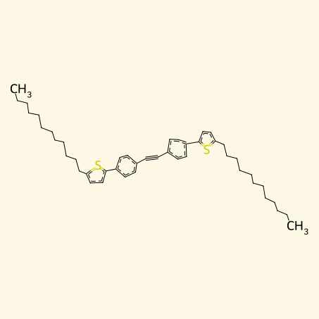 CCCCCCCCCCCCc1ccc(-c2ccc(C#Cc3ccc(-c4ccc(CCCCCCCCCCCC)s4)cc3)cc2)s1